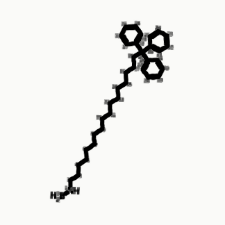 BNCCCCCCCCCCCCCCCCCC(c1ccccc1)(c1ccccc1)c1ccccc1